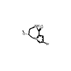 CO[C@@H]1CNC(=O)c2cc(Br)cn2C1